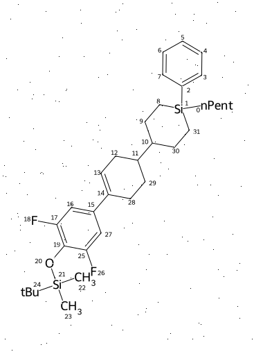 CCCCC[Si]1(c2ccccc2)CCC(C2CC=C(c3cc(F)c(O[Si](C)(C)C(C)(C)C)c(F)c3)CC2)CC1